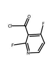 O=C(Cl)c1c(F)ccnc1F